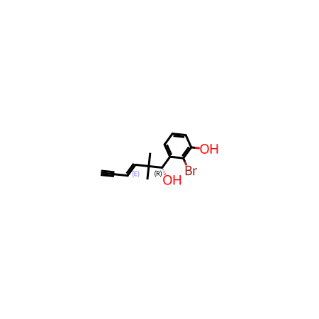 C#C/C=C/C(C)(C)[C@@H](O)c1cccc(O)c1Br